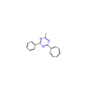 Cc1nc(C2=CC=C=CC=C2)nc(-c2ccccc2)n1